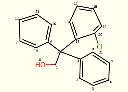 OCC(c1ccccc1)(c1ccccc1)c1ccccc1Cl